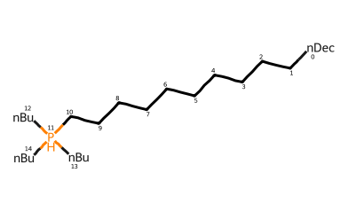 CCCCCCCCCCCCCCCCCCCC[PH](CCCC)(CCCC)CCCC